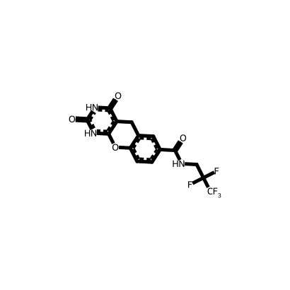 O=C(NCC(F)(F)C(F)(F)F)c1ccc2c(c1)Cc1c([nH]c(=O)[nH]c1=O)O2